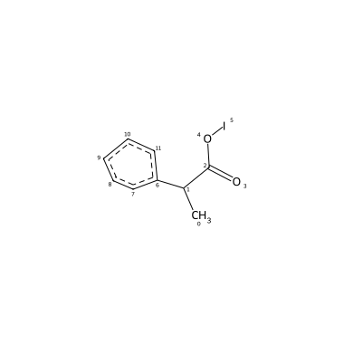 CC(C(=O)OI)c1ccccc1